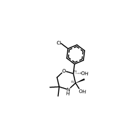 CC1(C)CO[C@@](O)(c2cccc(Cl)c2)[C@](C)(O)N1